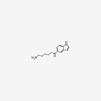 NCCCCCNc1ccc2[nH]ccc2c1